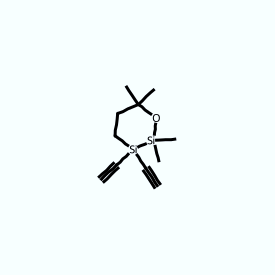 C#C[Si]1(C#C)CCC(C)(C)O[Si]1(C)C